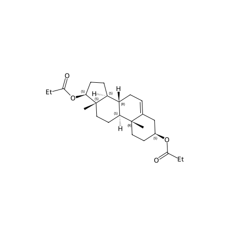 CCC(=O)O[C@H]1CC[C@@]2(C)C(=CC[C@H]3[C@@H]4CC[C@H](OC(=O)CC)[C@@]4(C)CC[C@@H]32)C1